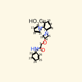 O=C(COC1CN(c2cccc(C(=O)O)c2-n2cccc2)C1)Nc1ccccc1